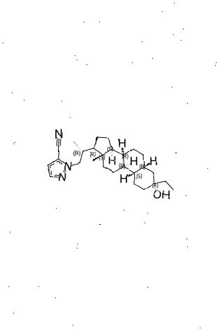 CC[C@@]1(O)CC[C@H]2[C@H](CC[C@@H]3[C@@H]2CC[C@]2(C)[C@@H]([C@@H](C)Cn4nccc4C#N)CC[C@@H]32)C1